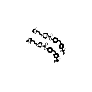 Cc1nc(CCN2CCN(C(=O)Oc3ccc(Cc4ccc(C(F)(F)F)cc4)cc3)CC2)cs1.O=C(Oc1ccc(Cc2ccc(C(F)(F)F)cc2)cc1)N1CCN(CCc2nccs2)CC1